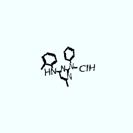 Cc1cc(Nc2ccccc2C)nc(N(C)c2ccccc2)n1.Cl